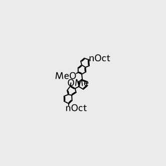 CCCCCCCCc1ccc2cc(OC)c(-c3cccc(-c4cc5cc(CCCCCCCC)ccc5cc4OC)c3)cc2c1